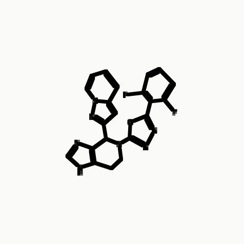 Fc1cccc(F)c1-c1nnc(N2CCc3[nH]cnc3C2c2cc3ccccn3n2)o1